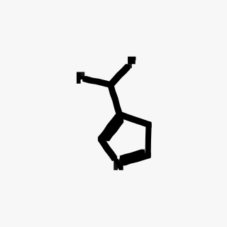 FC(F)C1=CN=CC1